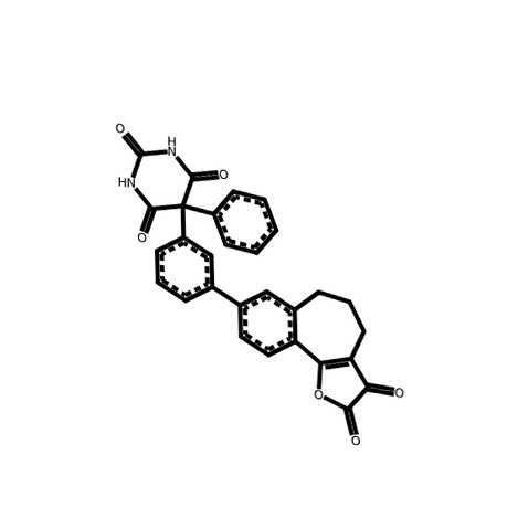 O=C1NC(=O)C(c2ccccc2)(c2cccc(-c3ccc4c(c3)CCCC3=C4OC(=O)C3=O)c2)C(=O)N1